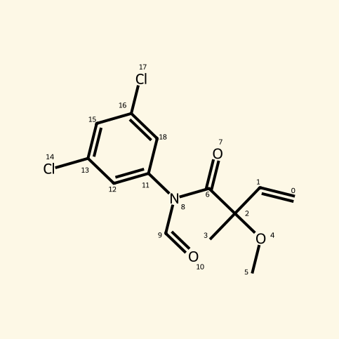 C=CC(C)(OC)C(=O)N(C=O)c1cc(Cl)cc(Cl)c1